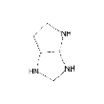 C1CC2NCNC2N1